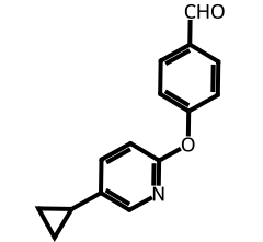 O=Cc1ccc(Oc2ccc(C3CC3)cn2)cc1